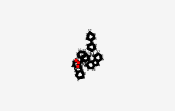 C1=C(N2c3c(sc4ccccc34)C3Sc4ccccc4C32)CC2c3c(cccc3N(c3ccc(-c4ccccc4)cc3)c3ccc(-c4ccccc4)cc3)CC2C1